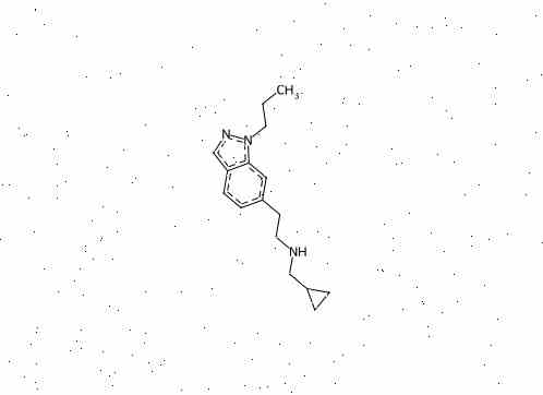 CCCn1ncc2ccc(CCNCC3CC3)cc21